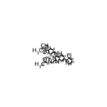 CC(C)S(=O)(=O)c1ccc(Nc2nc(CN3CCO[C@@H](C)C3)nc3cc(-c4ncccc4Cl)ccc23)cc1